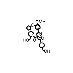 COc1ccc(C2=NOC(CC(=O)N3CCC(CO)CC3)(C(=O)N3CCCCC3CO)C2)cc1OC1CCCC1